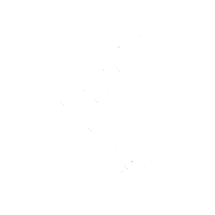 CN(CC(=O)N1CC(C(=O)Nc2ccccc2)CC1C#N)C(=O)CCCN(C)C(=O)C(F)(F)F